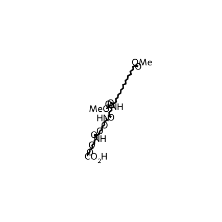 COC(=O)CCCCCCCCCCCCCCCCC(=O)NC(CCC(=O)NCCOCCOCC(=O)NCCOCCOCC(=O)O)C(=O)OC